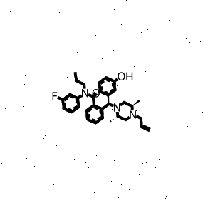 C=CCN1C[C@H](C)N([C@H](c2cccc(O)c2)c2ccccc2C(=O)N(CCC)c2cccc(F)c2)C[C@H]1C